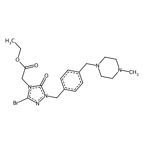 CCOC(=O)Cn1c(Br)nn(Cc2ccc(CN3CCN(C)CC3)cc2)c1=O